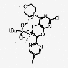 CC(Oc1nc(Cl)nc(N2CCOC[C@H]2CO[Si](C)(C)C(C)(C)C)c1F)c1ncc(F)cn1